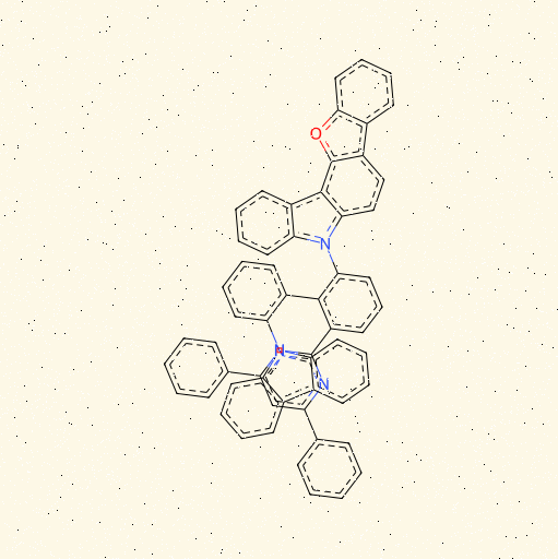 c1ccc(-c2cc(-c3ccccc3)nc(-c3cccc(-n4c5ccccc5c5c6oc7ccccc7c6ccc54)c3-c3ccccc3-n3c4ccccc4c4ccccc43)n2)cc1